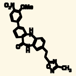 COc1cc(-c2ccc3c(c2)Nc2ccc(CCc4nc(C)no4)cc2NC3=O)ccc1[N+](=O)[O-]